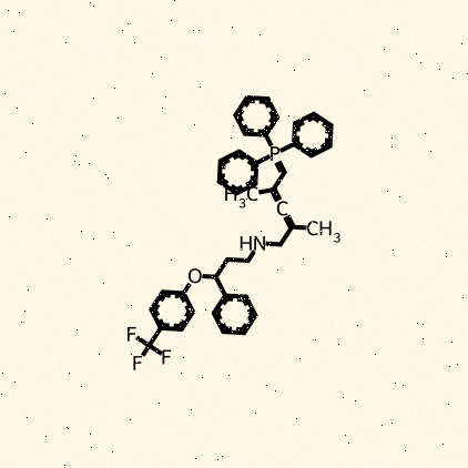 CC(=C=C(C)CNCCC(Oc1ccc(C(F)(F)F)cc1)c1ccccc1)C=P(c1ccccc1)(c1ccccc1)c1ccccc1